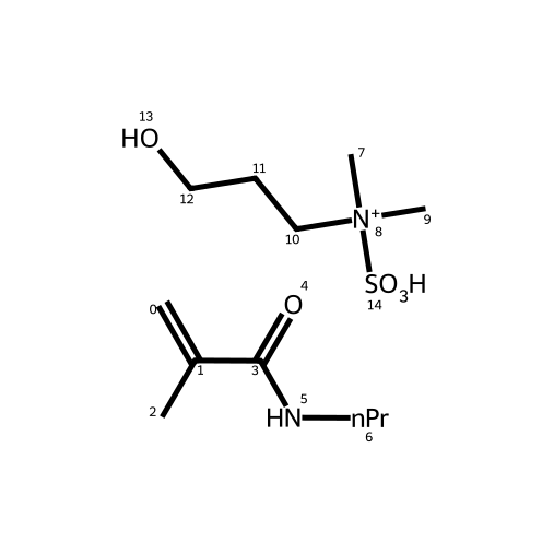 C=C(C)C(=O)NCCC.C[N+](C)(CCCO)S(=O)(=O)O